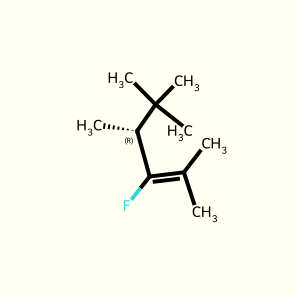 CC(C)=C(F)[C@H](C)C(C)(C)C